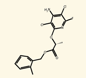 Cc1ccccc1COC(=O)[C@@H](C)Oc1nc(F)c(Cl)c(N)c1Cl